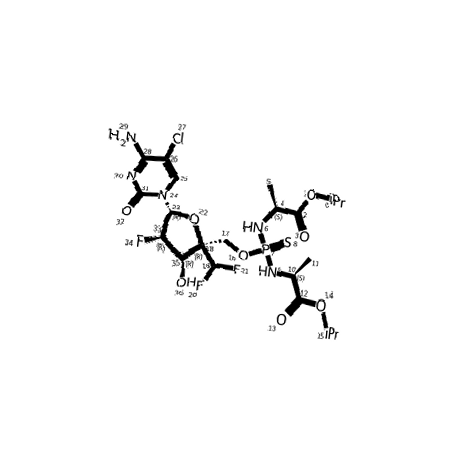 CC(C)OC(=O)[C@H](C)NP(=S)(N[C@@H](C)C(=O)OC(C)C)OC[C@@]1(C(F)F)O[C@@H](n2cc(Cl)c(N)nc2=O)[C@H](F)[C@@H]1O